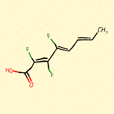 C/C=C/C=C(F)/C(F)=C(\F)C(=O)O